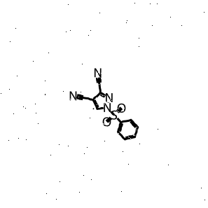 N#Cc1[c]n(S(=O)(=O)c2ccccc2)nc1C#N